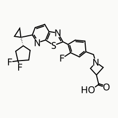 O=C(O)C1CN(Cc2ccc(-c3nc4ccc(C5([C@@H]6CCC(F)(F)C6)CC5)nc4s3)c(F)c2)C1